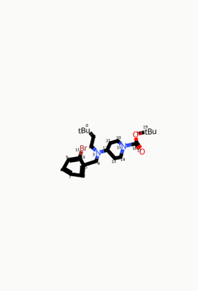 CC(C)(C)CCN(Cc1ccccc1Br)C1CCN(C(=O)OC(C)(C)C)CC1